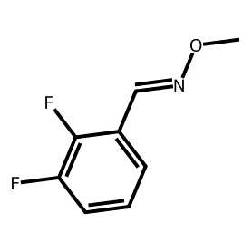 CON=Cc1cccc(F)c1F